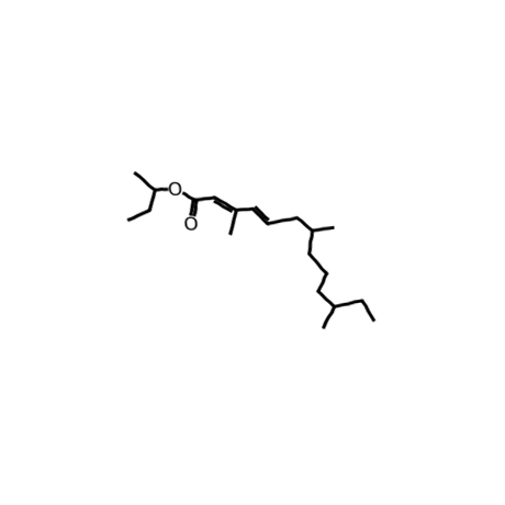 CCC(C)CCCC(C)C/C=C/C(C)=C/C(=O)OC(C)CC